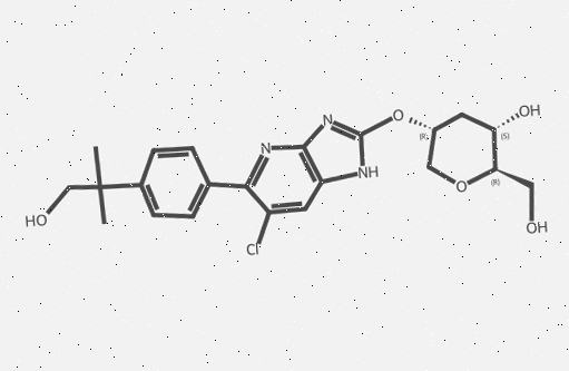 CC(C)(CO)c1ccc(-c2nc3nc(O[C@H]4CO[C@H](CO)[C@@H](O)C4)[nH]c3cc2Cl)cc1